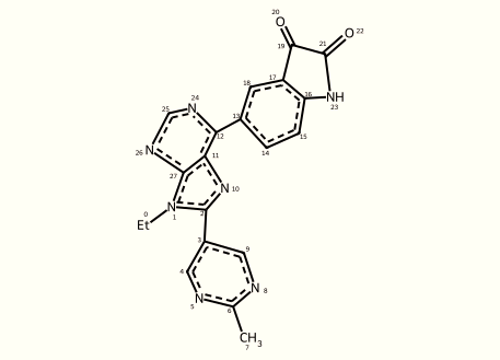 CCn1c(-c2cnc(C)nc2)nc2c(-c3ccc4c(c3)C(=O)C(=O)N4)ncnc21